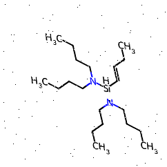 CCC=C[SiH](N(CCCC)CCCC)N(CCCC)CCCC